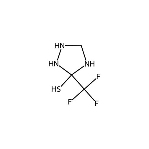 FC(F)(F)C1(S)NCNN1